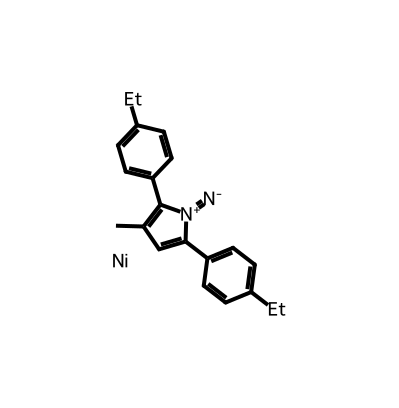 CCc1ccc(C2=CC(C)=C(c3ccc(CC)cc3)[N+]2=[N-])cc1.[Ni]